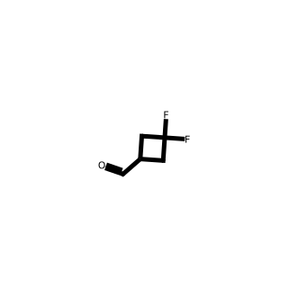 O=[C]C1CC(F)(F)C1